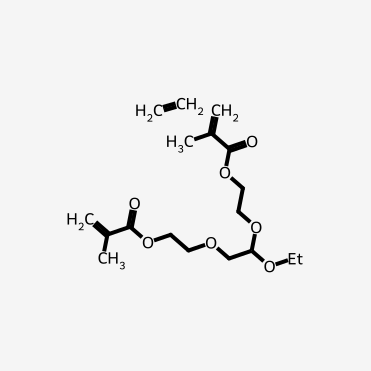 C=C.C=C(C)C(=O)OCCOCC(OCC)OCCOC(=O)C(=C)C